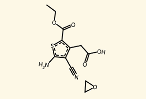 C1CO1.CCOC(=O)c1sc(N)c(C#N)c1CC(=O)O